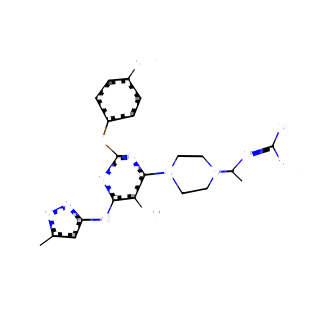 COc1c(Nc2cc(C)[nH]n2)nc(Sc2ccc(NC(C)=O)cc2)nc1N1CCN(C(C)N=C(N)N)CC1